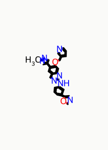 Cn1cc(-c2cc3cnc(Nc4cccc(-c5cnco5)c4)nc3cc2OCc2cccnc2)cn1